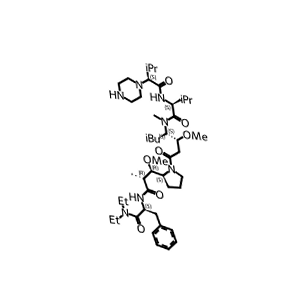 CC[C@H](C)[C@@H](C(CC(=O)N1CCC[C@H]1[C@H](OC)[C@@H](C)C(=O)N[C@@H](Cc1ccccc1)C(=O)N(CC)CC)OC)N(C)C(=O)[C@@H](NC(=O)[C@H](C(C)C)N1CCNCC1)C(C)C